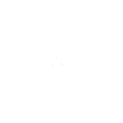 c1ccc(-c2ccc3oc4ccccc4c3c2C2=NC(c3ccc4c(ccc5ccccc54)c3)=NC(c3ccccc3)N2)cc1